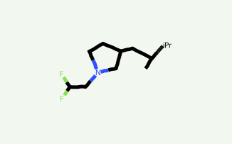 CC(C)C(C)CC1CCN(CC(F)F)C1